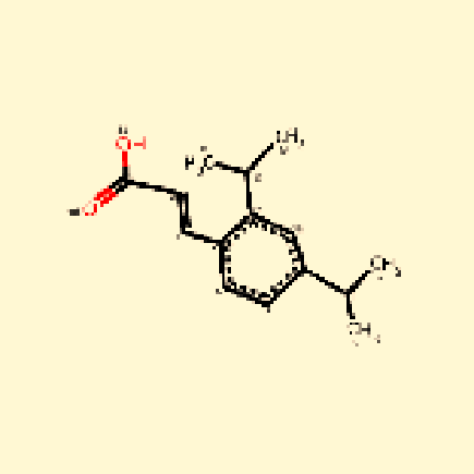 CC(C)c1ccc(C=CC(=O)O)c(C(C)C)c1